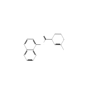 CC1=CC(C(=O)Oc2cccc3ccccc23)CCC1